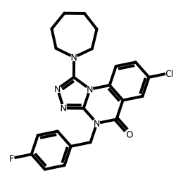 O=c1c2cc(Cl)ccc2n2c(N3CCCCCC3)nnc2n1Cc1ccc(F)cc1